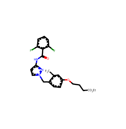 CCOC(=O)CCCOc1ccc(Cn2ccc(NC(=O)c3c(F)cccc3F)n2)c(C(F)(F)F)c1